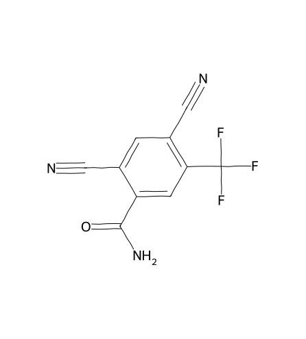 N#Cc1cc(C#N)c(C(F)(F)F)cc1C(N)=O